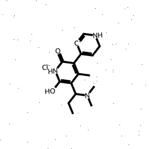 CCC(c1c(O)[nH]c(=O)c(C2=CCNC=[C+]2)c1C)N(C)C.[Cl-]